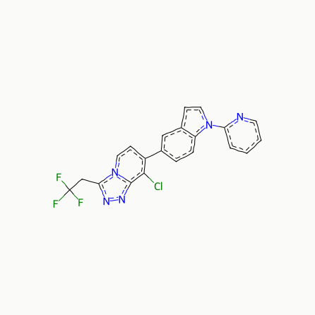 FC(F)(F)Cc1nnc2c(Cl)c(-c3ccc4c(ccn4-c4ccccn4)c3)ccn12